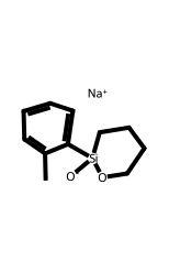 Cc1ccccc1[Si]1([O-])CCCCO1.[Na+]